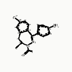 CC(=O)N1N=C(c2ccc(N)cc2)c2ccc(Cl)cc2CC1C